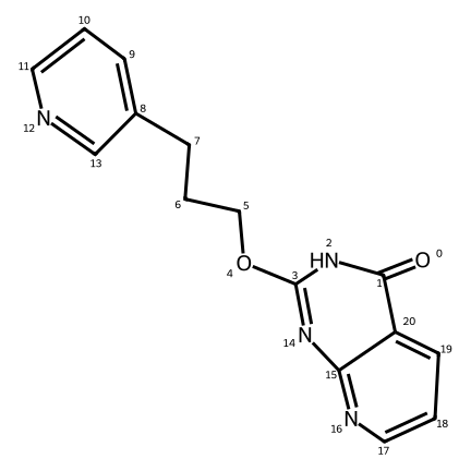 O=c1[nH]c(OCCCc2cccnc2)nc2ncccc12